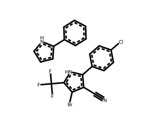 N#Cc1c(-c2ccc(Cl)cc2)[nH]c(C(F)(F)F)c1Br.c1ccc(-c2ccc[nH]2)cc1